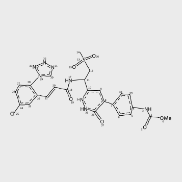 COC(=O)Nc1ccc(-c2cc(C(CS(C)(=O)=O)NC(=O)C=Cc3cc(Cl)ccc3-n3cnnn3)n[nH]c2=O)cc1